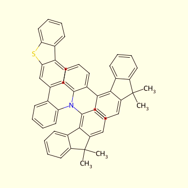 CC1(C)c2ccccc2-c2c(-c3ccccc3N(c3ccccc3-c3ccc4c(c3)sc3ccccc34)c3cccc4c3-c3ccccc3C4(C)C)cccc21